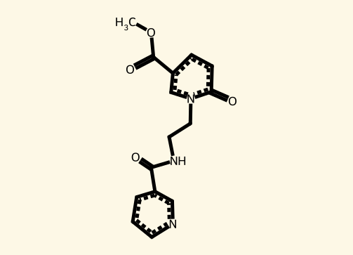 COC(=O)c1ccc(=O)n(CCNC(=O)c2cccnc2)c1